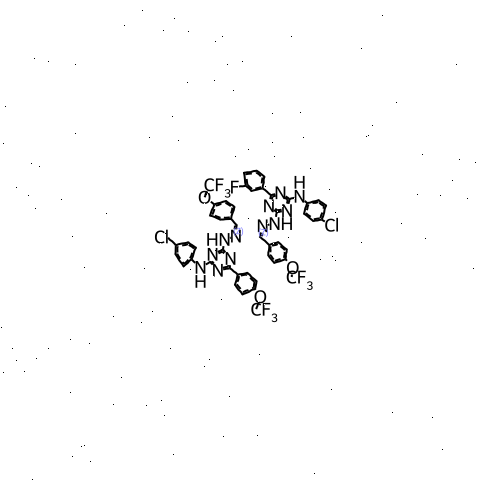 FC(F)(F)Oc1ccc(/C=N\Nc2nc(Nc3ccc(Cl)cc3)nc(-c3ccc(OC(F)(F)F)cc3)n2)cc1.Fc1cccc(-c2nc(N/N=C\c3ccc(OC(F)(F)F)cc3)nc(Nc3ccc(Cl)cc3)n2)c1